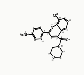 CC(=O)Nc1ccc(-c2cc(C(=O)N3CCOCC3)c3cccc(Cl)c3n2)nc1